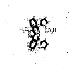 Cn1nc([N+]2(C(=O)[C@@H]3CCCN3C(=O)O)C3=CC=C2C=C3)cc1[N+]1(C(=O)[C@@H]2CCCN2C(=O)O)C2=CC=C1C=C2